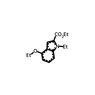 CCOC(=O)c1cc2c(OCC)cccc2n1CC